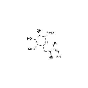 CCCC1=CNNN1CC1OC(OC)C(O)C(O)C1OC